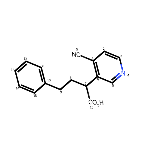 N#Cc1ccncc1C(CCc1ccccc1)C(=O)O